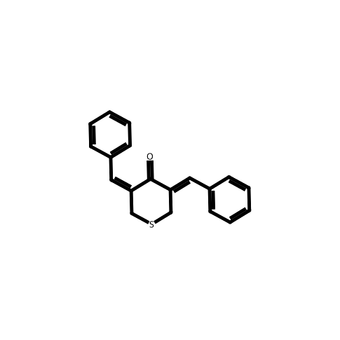 O=C1C(=Cc2ccccc2)CSCC1=Cc1ccccc1